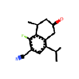 CC(C)c1cc(C#N)c(F)c2c1CC(=O)CC2C